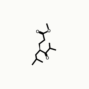 COC(=O)CC[C@H](CC(C)C)C(=O)C(C)C